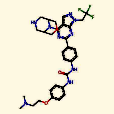 CN(C)CCOc1ccc(NC(=O)Nc2ccc(-c3nc(N4C5CNCC4COC5)c4cnn(CC(F)(F)F)c4n3)cc2)cc1